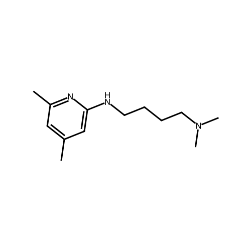 Cc1cc(C)nc(NCCCCN(C)C)c1